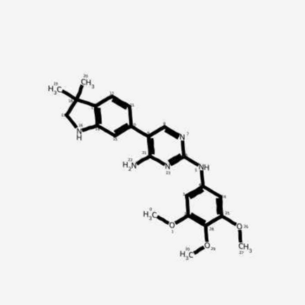 COc1cc(Nc2ncc(-c3ccc4c(c3)NCC4(C)C)c(N)n2)cc(OC)c1OC